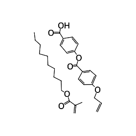 C=C(C)C(=O)OCCCCCCCCCC.C=CCOc1ccc(C(=O)Oc2ccc(C(=O)O)cc2)cc1